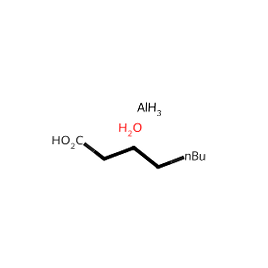 CCCCCCCC(=O)O.O.[AlH3]